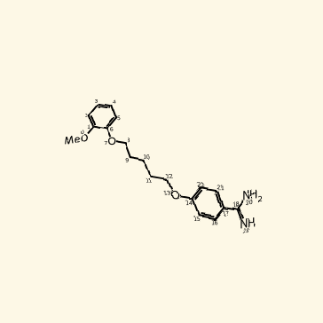 COc1ccccc1OCCCCCOc1ccc(C(=N)N)cc1